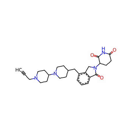 C#CCN1CCC(N2CCC(Cc3cccc4c3CN(C3CCC(=O)NC3=O)C4=O)CC2)CC1